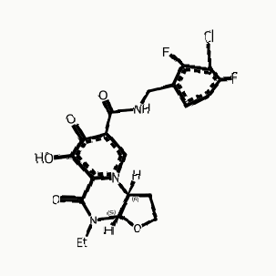 CCN1C(=O)c2c(O)c(=O)c(C(=O)NCc3ccc(F)c(Cl)c3F)cn2[C@@H]2CCO[C@@H]21